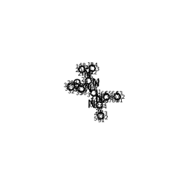 N#Cc1cc(-n2c3ccc(-n4c5ccccc5c5ccccc54)cc3c3c4oc5ccccc5c4ccc32)c(C#N)cc1-n1c2ccc(-c3ccccc3)cc2c2cc(-c3ccccc3)ccc21